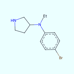 CCN(c1ccc(Br)cc1)C1CCNC1